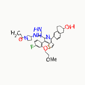 C=CC(=O)N1CCC(N/C=C(\C=N)c2nc(-c3ccc4c(c3)CCC(O)C4)c3ccsc3c2-c2ccc(F)cc2OCCOC)C1